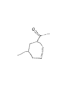 CC(=O)C1C=CCC(C)C1